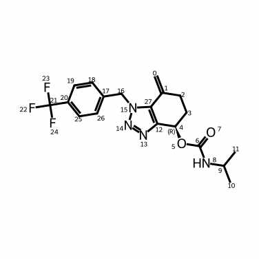 C=C1CC[C@@H](OC(=O)NC(C)C)c2nnn(Cc3ccc(C(F)(F)F)cc3)c21